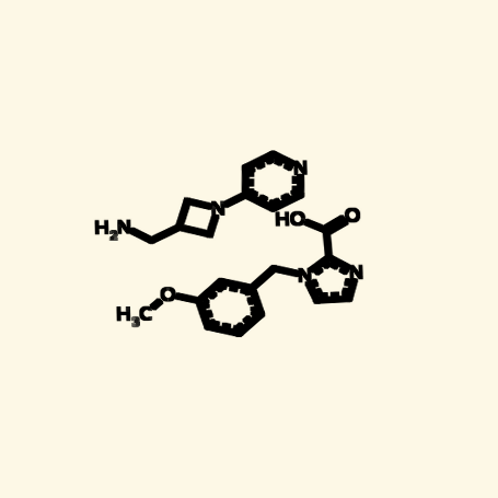 COc1cccc(Cn2ccnc2C(=O)O)c1.NCC1CN(c2ccncc2)C1